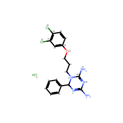 Cl.NC1=NC(c2ccccc2)N(CCCOc2ccc(Cl)c(Cl)c2)C(N)=N1